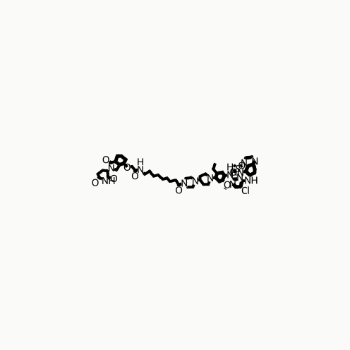 CCc1cc(Nc2ncc(Cl)c(Nc3ccc4nccnc4c3NS(C)(=O)=O)n2)c(OC)cc1N1CCC(N2CCN(C(=O)CCCCCCCCNC(=O)COc3cccc4c3CN(C3CCC(=O)NC3=O)C4=O)CC2)CC1